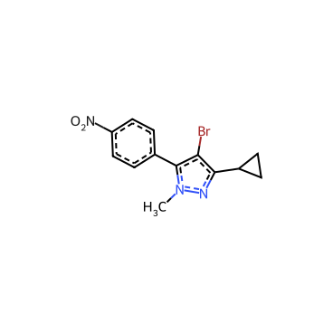 Cn1nc(C2CC2)c(Br)c1-c1ccc([N+](=O)[O-])cc1